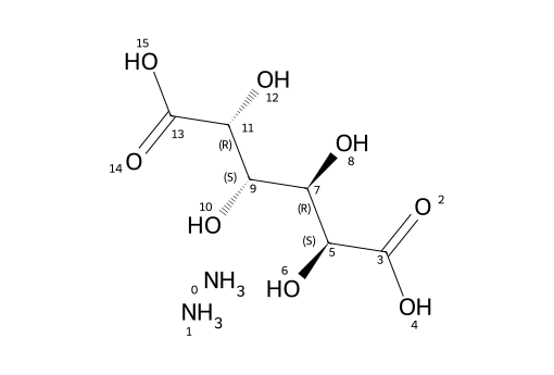 N.N.O=C(O)[C@@H](O)[C@H](O)[C@H](O)[C@@H](O)C(=O)O